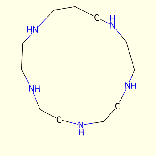 C1CNCCNCCNCCNCCNC1